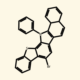 Brc1cc2c3c(n(-c4ccccc4)c2c2sc4ccccc4c12)C1C=CC=CC1C=C3